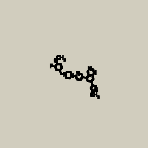 COc1ccc(CN2CCN(c3ccc(-c4cc(-c5cnn(C)c5)cc5ncncc45)cn3)CC2)cc1F